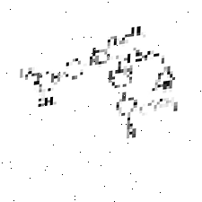 COCC[C@H](C)Oc1nn([C@H]2CC[C@H](N3C[C@@H](C)O[C@@H](C)C3)CC2)cc1Nc1ncc(-c2ccc(C#N)c(O[C@@H](C)Cn3cnnn3)c2)cn1